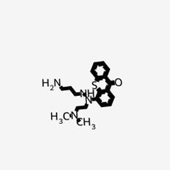 CN(C)CCN(NCCCN)c1cccc2c(=O)c3ccccc3sc12